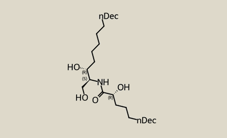 CCCCCCCCCCCCCCC[C@@H](O)[C@H](CO)NC(=O)[C@H](O)CCCCCCCCCCCCC